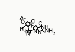 Cn1ncc(-c2ccc3c(=O)[nH]c(CN)nc3n2)c1-c1c(F)c(Cl)cc(OC2(C)CC2)c1C#N